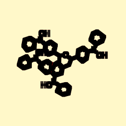 OB(c1ccccc1)c1ccc(C(Cc2cccc(B(O)c3ccccc3)c2)OC(Cc2cccc(B(O)c3ccccc3)c2)c2ccc(B(O)c3ccccc3)cc2)cc1